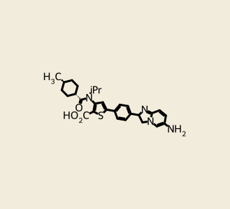 CC(C)N(c1cc(-c2ccc(C3CN4C=C(N)C=CC4=N3)cc2)sc1C(=O)O)C(=O)[C@H]1CC[C@H](C)CC1